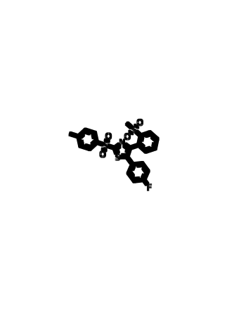 Cc1ccc(S(=O)(=O)c2nc(-c3ccccc3S(C)(=O)=O)c(-c3ccc(F)cc3)s2)cc1